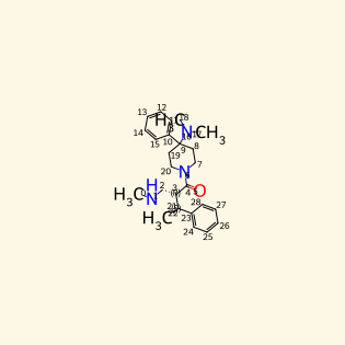 CNC[C@H](C(=O)N1CCC(c2ccccc2)(N(C)C)CC1)[C@H](C)c1ccccc1